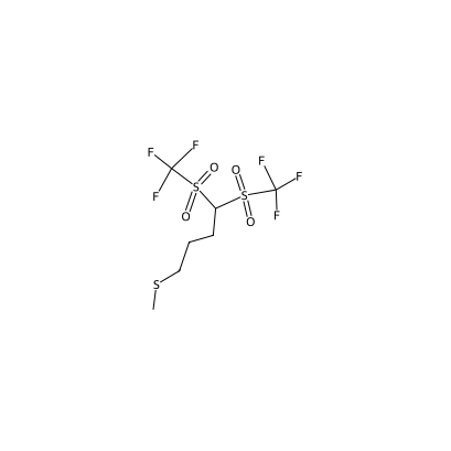 CSCCCC(S(=O)(=O)C(F)(F)F)S(=O)(=O)C(F)(F)F